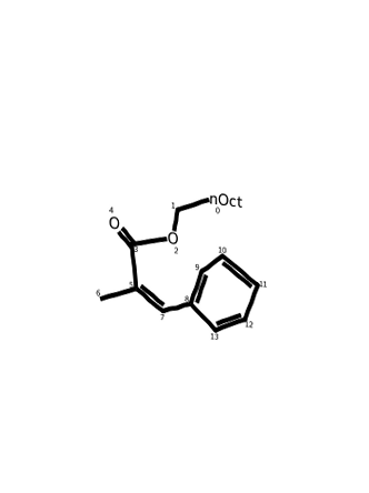 CCCCCCCCCOC(=O)C(C)=Cc1ccccc1